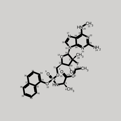 CCOC(=O)[C@@H](C)NP(=O)(OC[C@H]1O[C@@H](n2cnc3c(NC)nc(N)nc32)[C@](C)(F)[C@@H]1O)Oc1cccc2ccccc12